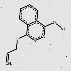 C=CCSc1nnc(OCC)c2ccccc12